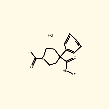 CCNC(=O)C1(c2ccccc2)CCN(C(=O)CC)CC1.Cl